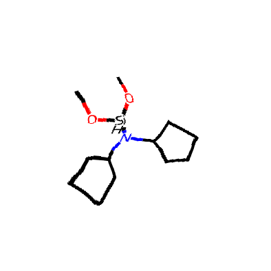 CO[SiH](OC)N(C1CCCC1)C1CCCC1